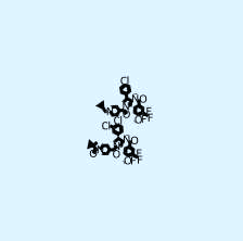 COc1ccc(C(=O)N(C)C2CN(C(=O)C3CCN(CC4CC4)CC3)CC2c2ccc(Cl)cc2)cc1C(F)(F)F.COc1ccc(C(=O)N(C)[C@@H]2CN(C(=O)C3CCN(C(=O)C4(C)CC4)CC3)C[C@H]2c2ccc(Cl)c(Cl)c2)cc1C(F)(F)F